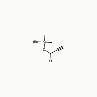 C#CC(CC)O[Si](C)(C)C(C)(C)C